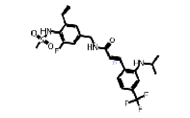 C=Cc1cc(CNC(=O)/C=C/c2ccc(C(F)(F)F)cc2NC(C)C)cc(F)c1NS(C)(=O)=O